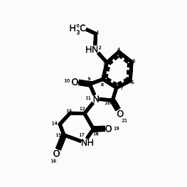 CCNc1cccc2c1C(=O)N(C1CCC(=O)NC1=O)C2=O